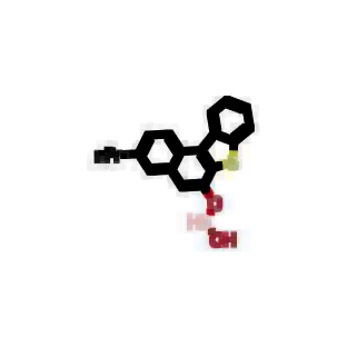 CCCc1ccc2c(c1)cc(OBO)c1sc3ccccc3c12